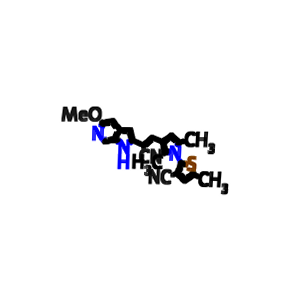 COc1cc2cc(C(C#N)=Cc3cc(C)n(-c4sc(C)cc4C#N)c3C)[nH]c2cn1